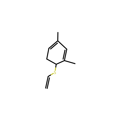 C=CSC1CC=C(C)C=C1C